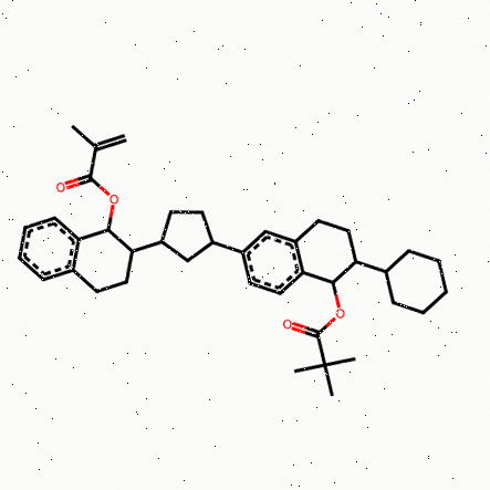 C=C(C)C(=O)OC1c2ccccc2CCC1C1CCC(c2ccc3c(c2)CCC(C2CCCCC2)C3OC(=O)C(C)(C)C)C1